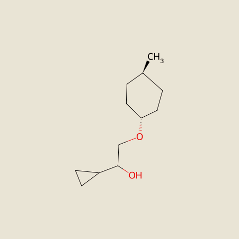 C[C@H]1CC[C@H](OCC(O)C2CC2)CC1